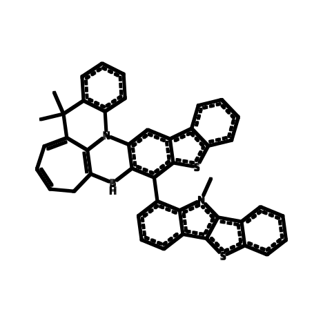 Cn1c2c(-c3c4c(cc5c3sc3ccccc35)N3C5=C(B4)CC=CC=C5C(C)(C)c4ccccc43)cccc2c2sc3ccccc3c21